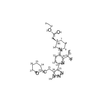 CCOC(=O)C[C@H]1CCCN(c2ccc(-c3nnn(C)c3COC3CCCCO3)nc2C(F)F)C1